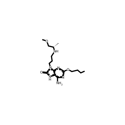 CCCCOc1nc(N)c2[nH]c(=O)n(CCCN[C@@H](C)COC)c2n1